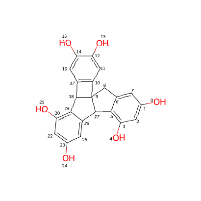 Oc1cc(O)c2c(c1)CC13c4cc(O)c(O)cc4C1c1c(O)cc(O)cc1C23